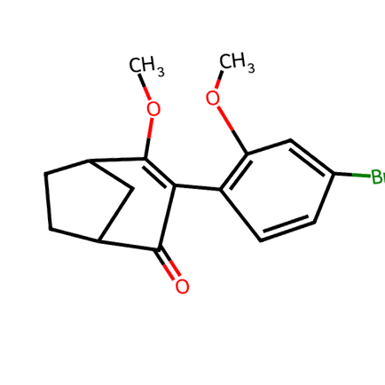 COC1=C(c2ccc(Br)cc2OC)C(=O)C2CCC1C2